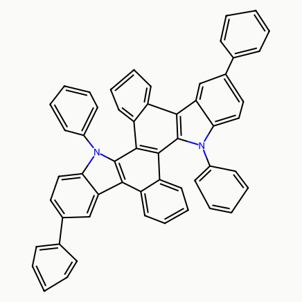 c1ccc(-c2ccc3c(c2)c2c4ccccc4c4c(c5ccccc5c5c6cc(-c7ccccc7)ccc6n(-c6ccccc6)c54)c2n3-c2ccccc2)cc1